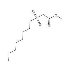 CCCCCCCCS(=O)(=O)CC(=O)OC